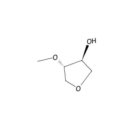 CO[C@H]1COC[C@@H]1O